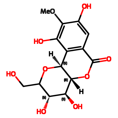 COc1c(O)cc2c(c1O)[C@@H]1OC(CO)[C@@H](O)[C@H](O)[C@H]1OC2=O